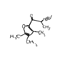 CCCCC(C)C(=O)c1oc(C)c(C)c1C